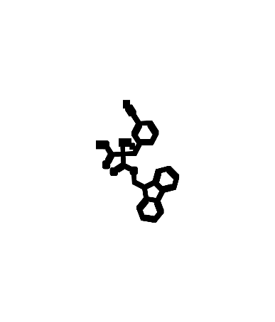 N#Cc1cccc(CC(N)(C(=O)O)C(=O)OCC2c3ccccc3-c3ccccc32)c1